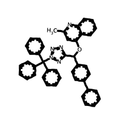 Cc1cc(OC(c2ccc(-c3ccccc3)cc2)c2nnn(C(c3ccccc3)(c3ccccc3)c3ccccc3)n2)c2ccccc2n1